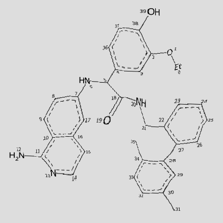 CCOc1cc(C(Nc2ccc3c(N)nccc3c2)C(=O)NCc2ccccc2-c2cc(C)ccc2C)ccc1O